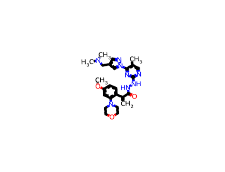 C=C(C(=O)NNc1ncc(C)c(-n2cc(CN(C)C)cn2)n1)c1ccc(OC)cc1N1CCOCC1